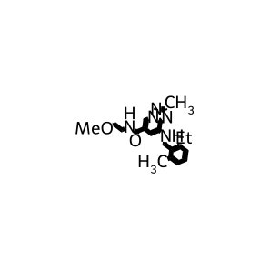 CCc1cccc(C)c1CNc1cc(C(=O)NCCOC)cn2nc(C)nc12